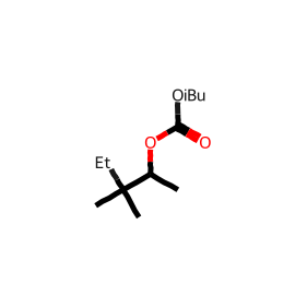 CCC(C)(C)C(C)OC(=O)OCC(C)C